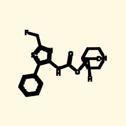 O=C(Nc1nc(CF)sc1-c1ccccc1)O[C@H]1CN2CCC1CC2